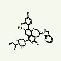 C=CC(=O)N1[C@H](C)CN(c2nc(=O)n3c4c(c(-c5ccc(F)cc5F)c(C(F)(F)F)cc24)SC[C@@H](n2ncc4cccnc42)C3)C[C@@H]1C